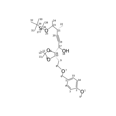 COc1ccc(COCC[C@@H]2OC(C)(C)O[C@@H]2C(O)C#C[C@@H](C)C(C)O[Si](C)(C)C(C)(C)C)cc1